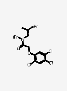 CC(C)C(C)CN(C(=O)COc1cc(Cl)c(Cl)cc1Cl)C(C)C